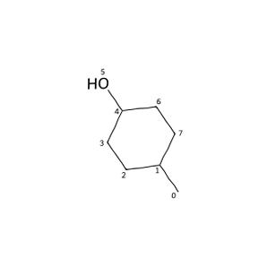 CC1CCC(O)CC1